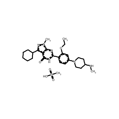 CCOc1cc(N2CCC(NC)CC2)ccc1-c1nc2c(c(C3CCCCC3)nn2C)c(=O)[nH]1.CS(=O)(=O)O